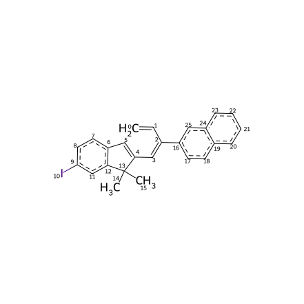 C=C/C(=C\C1=Cc2ccc(I)cc2C1(C)C)c1ccc2ccccc2c1